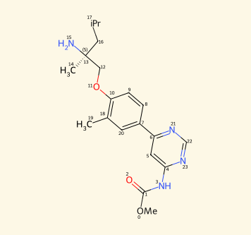 COC(=O)Nc1cc(-c2ccc(OC[C@@](C)(N)CC(C)C)c(C)c2)ncn1